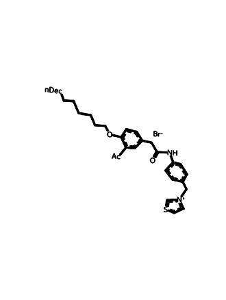 CCCCCCCCCCCCCCCCOc1ccc(CC(=O)Nc2ccc(C[n+]3ccsc3)cc2)cc1C(C)=O.[Br-]